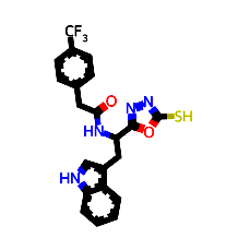 O=C(Cc1ccc(C(F)(F)F)cc1)NC(Cc1c[nH]c2ccccc12)c1nnc(S)o1